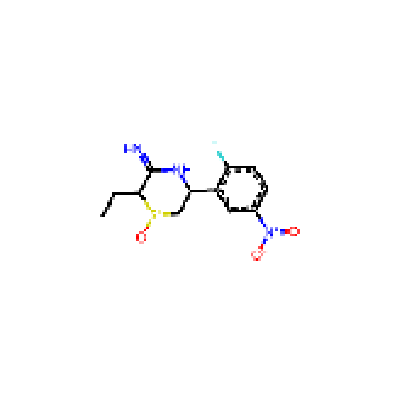 CCC1C(=N)NC(c2cc([N+](=O)[O-])ccc2F)C[S+]1[O-]